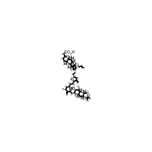 C=CCOC12C[C@]3(CC[C@H]4CC(=C)C(CCC5C[C@@H](C)C(=C)C(C[C@@H]6O[C@H]7C[C@H]8OC(C)(C)OC[C@H]8O[C@H]7[C@H](C)[C@H]6O)O5)O4)O[C@H]4[C@H]5OC(CC(=O)O)CC[C@@H]5OC([C@H]4O1)[C@@H]2O3